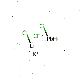 [Cl-].[Cl][PbH].[K+].[Li][Cl]